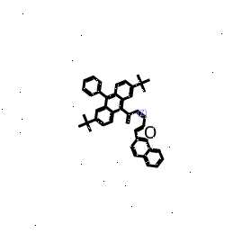 C=C(/C=C\c1cc2ccc3ccccc3c2o1)c1c2cc(C(C)(C)C)ccc2c(-c2ccccc2)c2cc(C(C)(C)C)ccc12